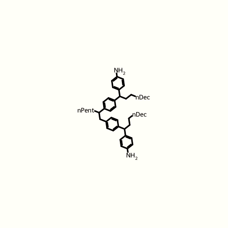 CCCCCCCCCCCCC(c1ccc(N)cc1)c1ccc(CC(CCCCC)c2ccc(C(CCCCCCCCCCCC)c3ccc(N)cc3)cc2)cc1